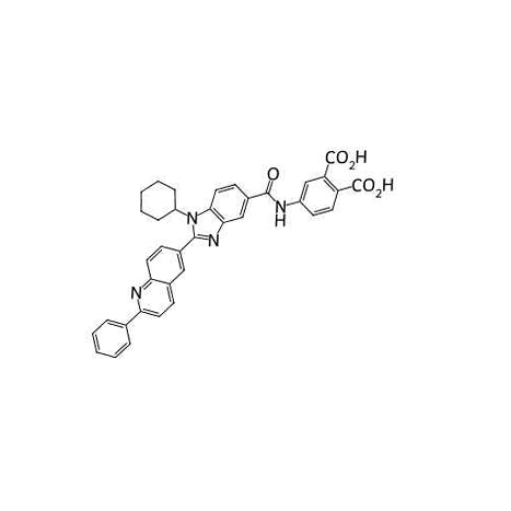 O=C(Nc1ccc(C(=O)O)c(C(=O)O)c1)c1ccc2c(c1)nc(-c1ccc3nc(-c4ccccc4)ccc3c1)n2C1CCCCC1